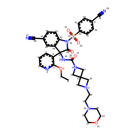 CCOc1ncccc1C1(NC(=O)N2CC3(CN(CCN4CCOCC4)C3)C2)C(=O)N(S(=O)(=O)c2ccc(C#N)cc2)c2ccc(C#N)cc21